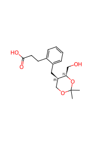 CC1(C)OC[C@@H](Cc2ccccc2CCC(=O)O)[C@@H](CO)O1